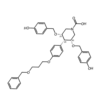 O=C(O)N1C[C@H](OCc2ccc(O)cc2)[C@H](c2ccc(OCCCOCc3ccccc3)cc2)[C@H](OCc2ccc(O)cc2)C1